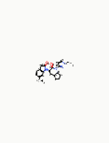 Cc1ccc2c(c1)N(C(CC1CCCC1)C(=O)Nc1ccn(C)n1)C(=O)C2